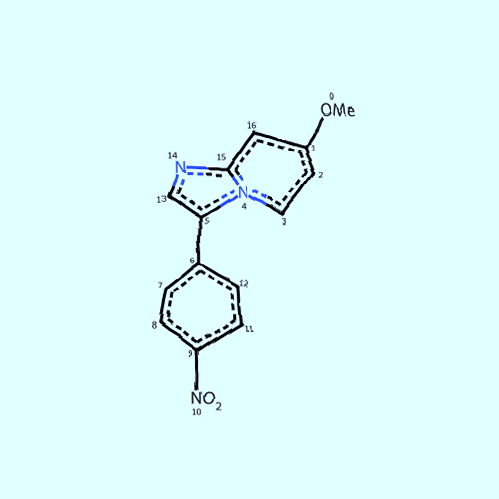 COc1ccn2c(-c3ccc([N+](=O)[O-])cc3)cnc2c1